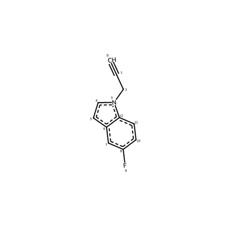 C#CCn1ccc2cc(F)ccc21